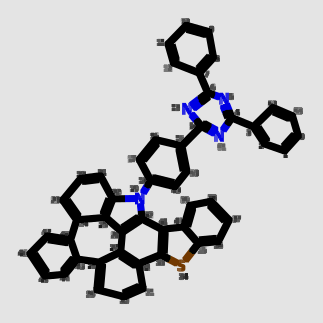 c1ccc(-c2nc(-c3ccccc3)nc(-c3ccc(-n4c5cccc6c5c5c7c(cccc7c7sc8ccccc8c7c54)-c4ccccc4-6)cc3)n2)cc1